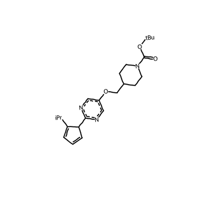 CC(C)C1=CC=CC1c1ncc(OCC2CCN(C(=O)OC(C)(C)C)CC2)cn1